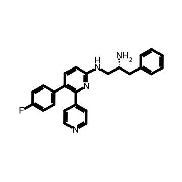 N[C@@H](CNc1ccc(-c2ccc(F)cc2)c(-c2ccncc2)n1)Cc1ccccc1